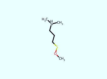 COSCCC[SiH](C)C